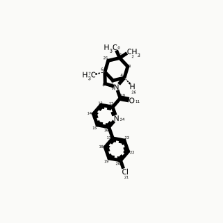 CC1(C)C[C@@H]2C[C@@](C)(CN2C(=O)c2cccc(-c3ccc(Cl)cc3)n2)C1